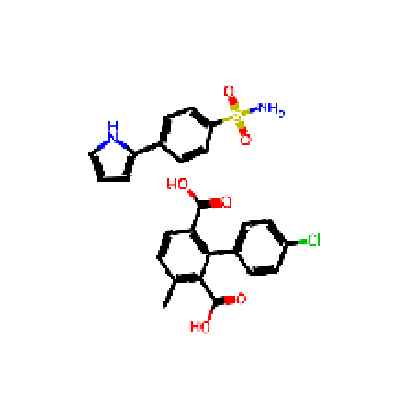 Cc1ccc(C(=O)O)c(-c2ccc(Cl)cc2)c1C(=O)O.NS(=O)(=O)c1ccc(-c2ccc[nH]2)cc1